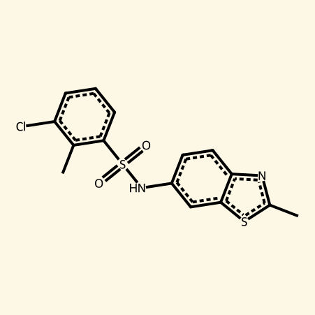 Cc1nc2ccc(NS(=O)(=O)c3cccc(Cl)c3C)cc2s1